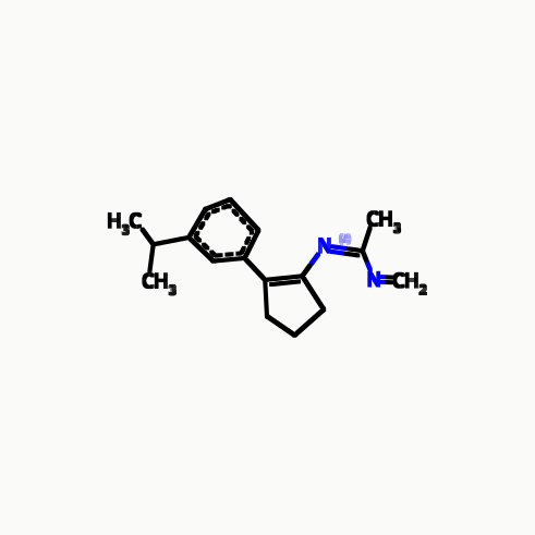 C=N/C(C)=N\C1=C(c2cccc(C(C)C)c2)CCC1